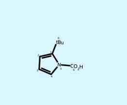 CC(C)(C)c1cccn1C(=O)O